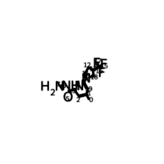 Cc1cc(C(=O)NN)nc(N2CCC(C(F)(F)F)C2)c1